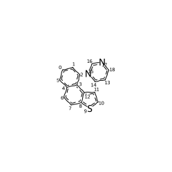 c1ccc2c(c1)ccc1sccc12.c1cncnc1